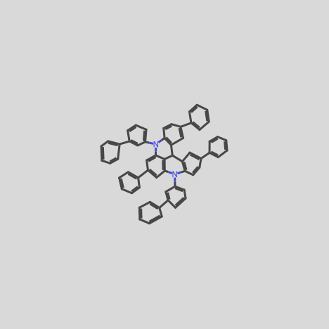 c1ccc(-c2cccc(N3c4ccc(-c5ccccc5)cc4C4c5cc(-c6ccccc6)ccc5N(c5cccc(-c6ccccc6)c5)c5cc(-c6ccccc6)cc3c54)c2)cc1